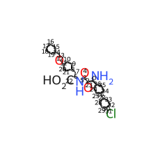 Nc1c(C(=O)NC(Cc2ccc(OCc3ccccc3)cc2)C(=O)O)oc2cc(-c3ccc(Cl)cc3)ccc12